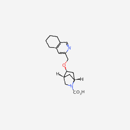 O=C(O)N1C[C@H]2C[C@@H]1C[C@@H]2OCc1cc2c(cn1)CCCC2